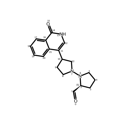 O=C[C@@H]1CCCN1N1CCC(c2c[nH]c(=O)c3ccccc23)C1